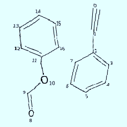 C#Cc1ccccc1.O=COc1ccccc1